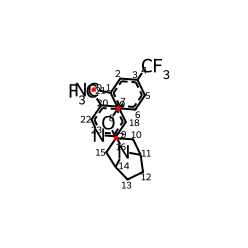 N#Cc1cc(C(F)(F)F)ccc1OC1CC2CCC(C1)N2c1ccc(C(F)(F)F)cn1